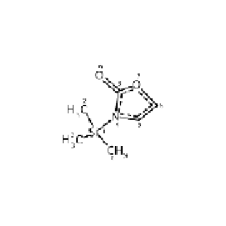 C[Si](C)(C)n1ccoc1=O